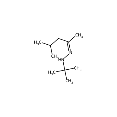 CC(CC(C)C)=NNC(C)(C)C